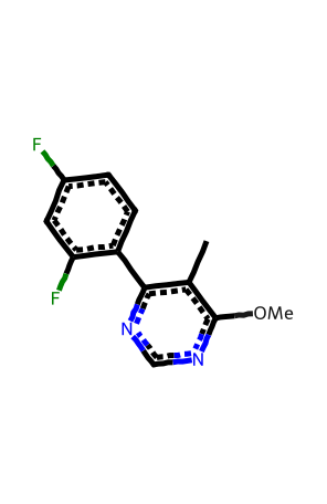 COc1ncnc(-c2ccc(F)cc2F)c1C